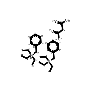 CC[N+](CC)(CC)Cc1ccccc1.CC[N+](CC)(CC)Cc1ccccc1.O=C([O-])CC(=O)[O-]